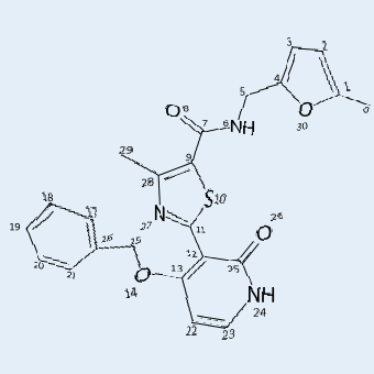 Cc1ccc(CNC(=O)c2sc(-c3c(OCc4ccccc4)cc[nH]c3=O)nc2C)o1